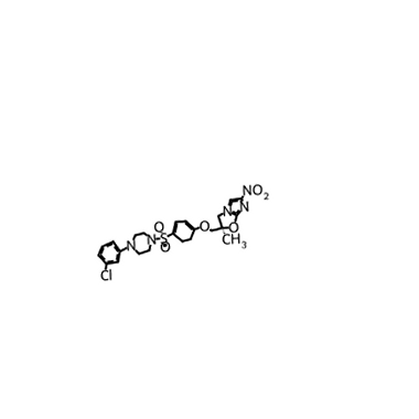 C[C@]1(COC2=CC=C(S(=O)(=O)N3CCN(c4cccc(Cl)c4)CC3)CC2)Cn2cc([N+](=O)[O-])nc2O1